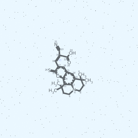 CC1(C)CCN2CCC(C)(C)c3c2c1cc1cc(/C=C(/C#N)C(=O)O)c(=S)oc31